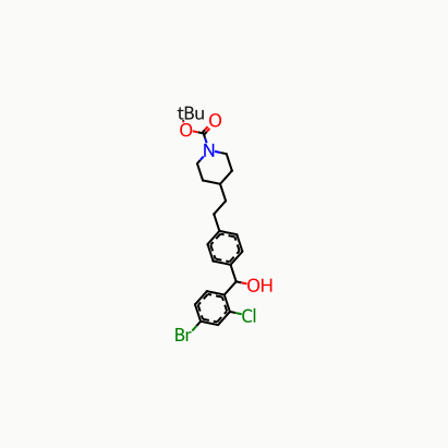 CC(C)(C)OC(=O)N1CCC(CCc2ccc(C(O)c3ccc(Br)cc3Cl)cc2)CC1